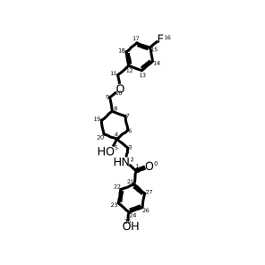 O=C(NCC1(O)CCC(COCc2ccc(F)cc2)CC1)c1ccc(O)cc1